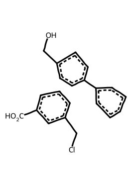 O=C(O)c1cccc(CCl)c1.OCc1ccc(-c2ccccc2)cc1